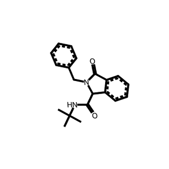 CC(C)(C)NC(=O)C1c2ccccc2C(=O)N1Cc1ccccc1